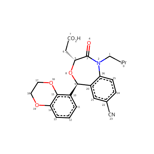 CC(C)CN1C(=O)[C@@H](CC(=O)O)O[C@H](c2cccc3c2OCCO3)c2cc(C#N)ccc21